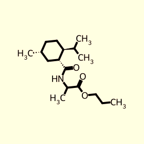 CCCOC(=O)C(C)NC(=O)[C@@H]1C[C@H](C)CC[C@H]1C(C)C